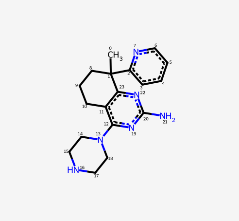 CC1(c2ccccn2)CCCc2c(N3CCNCC3)nc(N)nc21